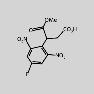 COC(=O)C(CC(=O)O)c1c([N+](=O)[O-])cc(F)cc1[N+](=O)[O-]